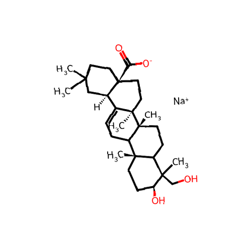 CC1(C)CC[C@]2(C(=O)[O-])CC[C@]3(C)C(=CCC4[C@@]5(C)CC[C@H](O)C(C)(CO)C5CC[C@]43C)[C@H]2C1.[Na+]